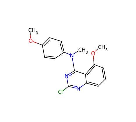 COc1ccc(N(C)c2nc(Cl)nc3cccc(OC)c23)cc1